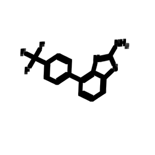 Nc1nc2c(-c3ccc(C(F)(F)F)cc3)cccc2s1